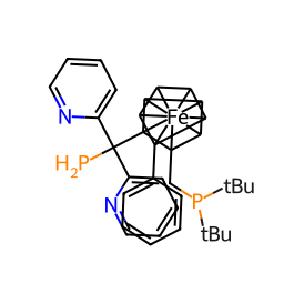 CC(C)(C)P(C[C]12[CH]3[CH]4[CH]5[C]1(C(P)(c1ccccn1)c1ccccn1)[Fe]43521678[CH]2[CH]1[CH]6[C]7(c1ccccc1)[CH]28)C(C)(C)C